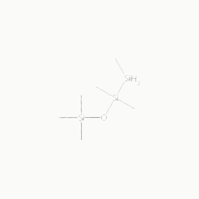 C[SiH2][Si](C)(C)O[Si](C)(C)C